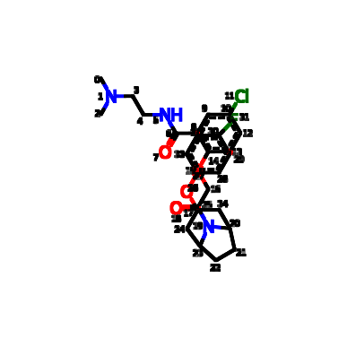 CN(C)CCNC(=O)c1cc(Cl)ccc1OCC(=O)N1C2CCC1CC(Oc1ccc(F)cc1)C2